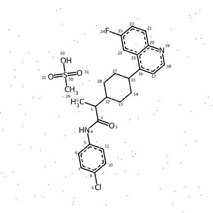 CC(C(=O)Nc1ccc(Cl)cc1)C1CCC(c2ccnc3ccc(F)cc23)CC1.CS(=O)(=O)O